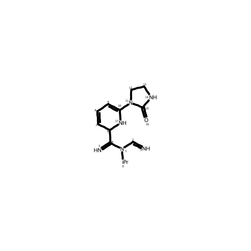 CC(C)N(C=N)C(=N)C1C=CC=C(N2CCNC2=O)N1